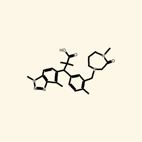 Cc1ccc(C(c2ccc3c(nnn3C)c2C)C(C)(C)C(=O)O)cc1CN1CCCN(C)C(=O)C1